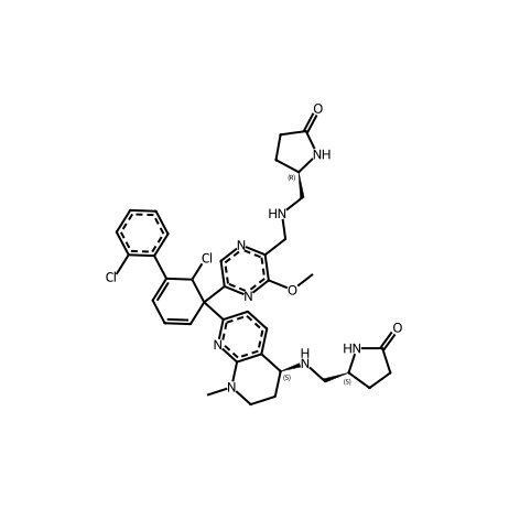 COc1nc(C2(c3ccc4c(n3)N(C)CC[C@@H]4NC[C@@H]3CCC(=O)N3)C=CC=C(c3ccccc3Cl)C2Cl)cnc1CNC[C@H]1CCC(=O)N1